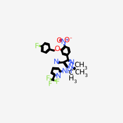 CC(C)(C)n1nc(-c2ccc([N+](=O)[O-])c(OCc3ccc(F)cc3)c2)c(C#N)c1Nc1cccc(C(F)(F)F)n1